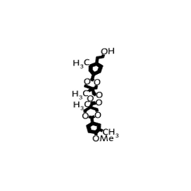 COc1ccc(C2OCC(C)(C(=O)OC(=O)C3(C)COC(c4ccc(CCO)c(C)c4)OC3)CO2)cc1C